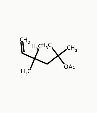 C=CC(C)(C)CC(C)(C)OC(C)=O